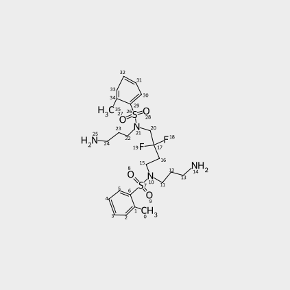 Cc1ccccc1S(=O)(=O)N(CCCN)CCC(F)(F)CN(CCCN)S(=O)(=O)c1ccccc1C